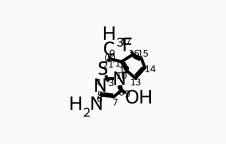 C[C@H](Sc1nc(N)cc(O)n1)c1ccccc1F